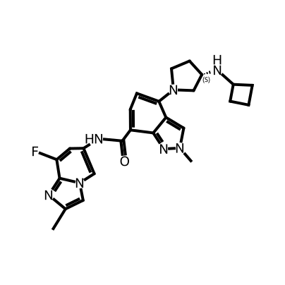 Cc1cn2cc(NC(=O)c3ccc(N4CC[C@H](NC5CCC5)C4)c4cn(C)nc34)cc(F)c2n1